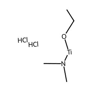 CC[O][Ti][N](C)C.Cl.Cl